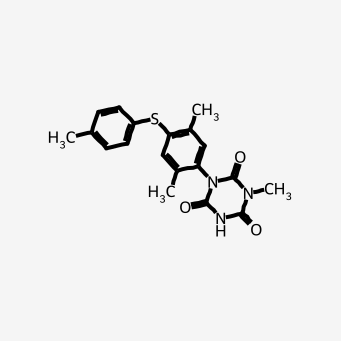 Cc1ccc(Sc2cc(C)c(-n3c(=O)[nH]c(=O)n(C)c3=O)cc2C)cc1